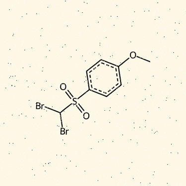 COc1ccc(S(=O)(=O)C(Br)Br)cc1